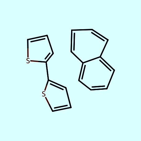 c1ccc2ccccc2c1.c1csc(-c2cccs2)c1